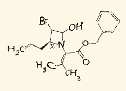 C=CC[C@H]1C(Br)C(O)N1C(C(=O)OCc1ccccc1)=C(C)C